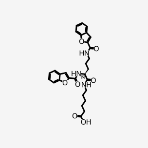 O=C(O)CCCCCNC(=O)[C@H](CCCNC(=O)c1cc2ccccc2o1)NC(=O)c1cc2ccccc2o1